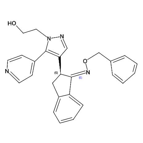 OCCn1ncc([C@@H]2Cc3ccccc3/C2=N/OCc2ccccc2)c1-c1ccncc1